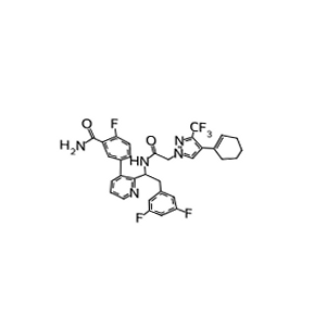 NC(=O)c1cc(-c2cccnc2C(Cc2cc(F)cc(F)c2)NC(=O)Cn2cc(C3=CCCCC3)c(C(F)(F)F)n2)ccc1F